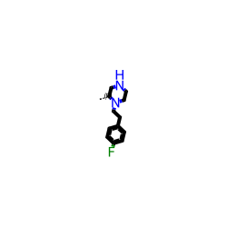 C[C@@H]1CNCCN1CCc1ccc(F)cc1